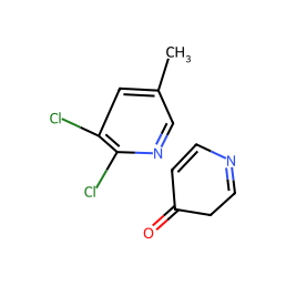 Cc1cnc(Cl)c(Cl)c1.O=C1C=CN=CC1